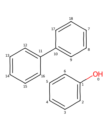 Oc1ccccc1.c1ccc(-c2ccccc2)cc1